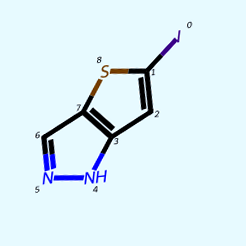 Ic1cc2[nH]ncc2s1